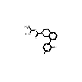 NC(N)=NC(=O)N1CCc2cccc(-c3ccc(F)cc3Cl)c2C1